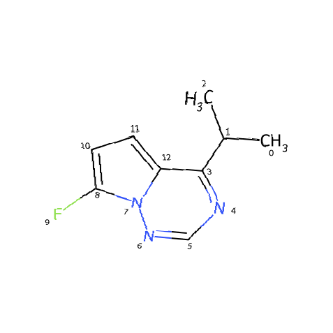 CC(C)c1ncnn2c(F)ccc12